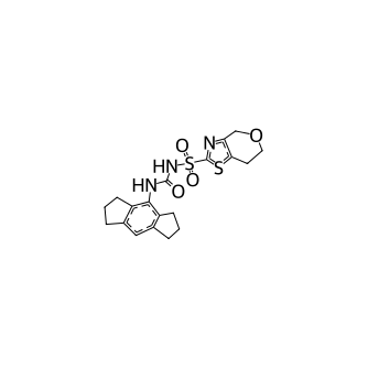 O=C(Nc1c2c(cc3c1CCC3)CCC2)NS(=O)(=O)c1nc2c(s1)CCOC2